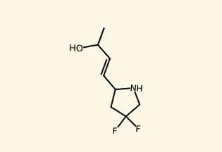 CC(O)/C=C/C1CC(F)(F)CN1